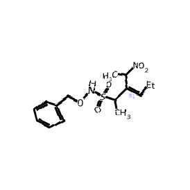 CC/C=C(\C(C)[N+](=O)[O-])C(C)S(=O)(=O)NOCc1ccccc1